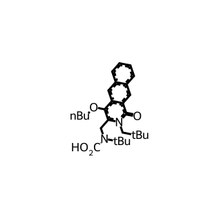 CCCCOc1c(CN(C(=O)O)C(C)(C)C)n(CC(C)(C)C)c(=O)c2cc3ccccc3cc12